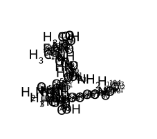 CC[C@@]1(O)C(=O)OCc2c1cc1n(c2=O)Cc2c-1nc1cc(F)c(C)c3c1c2[C@@H](NC(=O)COCNC(=O)[C@H](CCCCN)NC(=O)OCc1ccc(NC(=O)[C@H](CCCNC(N)=O)NC(=O)[C@@H](NC(=O)[C@H](CCC(=O)O)NC(=O)CCOCCOCCOCCOCCNC(=O)COC2C#CCCCCC2)C(C)C)cc1)CC3